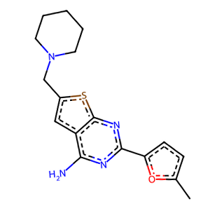 Cc1ccc(-c2nc(N)c3cc(CN4CCCCC4)sc3n2)o1